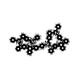 c1ccc(-c2cc(-c3ccccc3)nc(-c3ccc(-n4c5ccccc5c5c6ccccc6c6c7cc8c9ccccc9n(-c9cc(-c%10ccccc%10)nc(-c%10ccc(-c%11ccc%12c%13c%14ccccc%14c%14c%15cc%16c%17ccccc%17n(-c%17nc(-c%18ccccc%18)cc(-c%18ccccc%18)n%17)c%16cc%15sc%14c%13n(-c%13cc(-c%14ccccc%14)nc(-c%14ccccc%14)n%13)c%12c%11)cc%10)n9)c8cc7sc6c54)cc3)n2)cc1